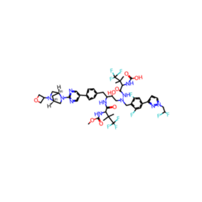 COC(=O)NC(C(=O)NC(Cc1ccc(-c2cnc(N3C[C@H]4C[C@@H]3CN4C3COC3)nc2)cc1)C(O)CN(Cc1c(F)cc(-c2ccn(CC(F)F)n2)cc1F)NC(=O)C(NC(=O)O)C(C)(C)C(F)(F)F)C(C)(C)C(F)(F)F